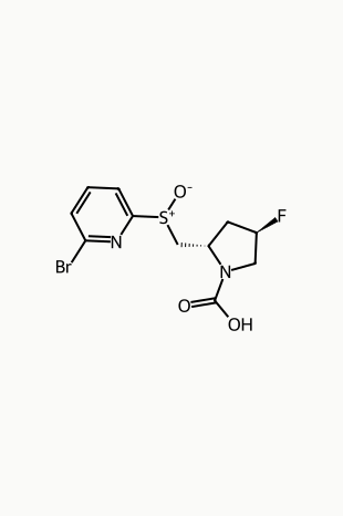 O=C(O)N1C[C@H](F)C[C@H]1C[S+]([O-])c1cccc(Br)n1